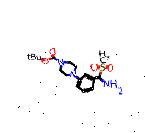 CC(C)(C)OC(=O)N1CCN(c2cccc(C(N)S(C)(=O)=O)c2)CC1